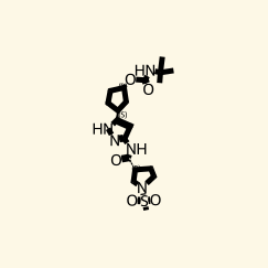 CC(C)(C)NC(=O)O[C@@H]1CC[C@H](c2cc(NC(=O)[C@@H]3CCN(S(C)(=O)=O)C3)n[nH]2)C1